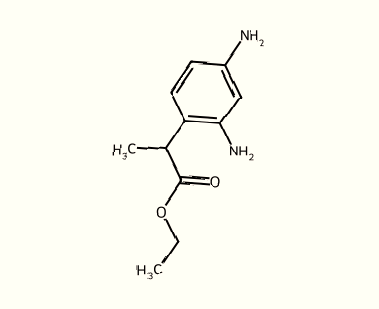 CCOC(=O)C(C)c1ccc(N)cc1N